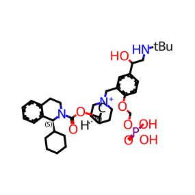 CC(C)(C)NCC(O)c1ccc(OCOP(=O)(O)O)c(C[N+]23CCC(CC2)[C@@H](OC(=O)N2CCc4ccccc4[C@@H]2C2CCCCC2)C3)c1